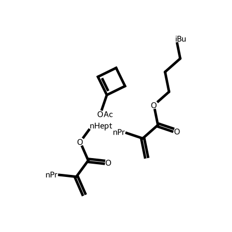 C=C(CCC)C(=O)OCCCC(C)CC.C=C(CCC)C(=O)OCCCCCCC.CC(=O)OC1=CCC1